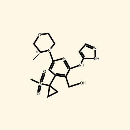 C[C@@H]1COCCN1c1cc(C2(S(C)(=O)=O)CC2)c(CO)c(Nc2ccn[nH]2)n1